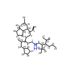 C=CC(CCC(CCNCC(C(CCC)C(C)C)C(C)(C)C)C(C)CC1CCCC1)C(CC(C)C)C1CCCC1C